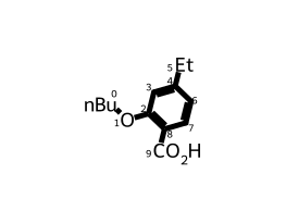 CCCCOc1cc(CC)ccc1C(=O)O